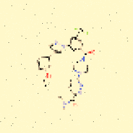 CCOc1cccc(-c2cnn(-c3cc(C(=O)N4CCN(c5ccc(C(=O)N(CC)CC)nn5)CC4)cc(C(F)(F)F)c3)c2)c1